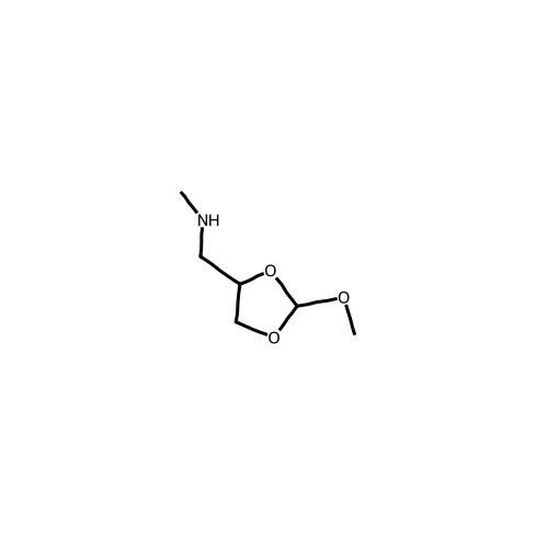 CNCC1COC(OC)O1